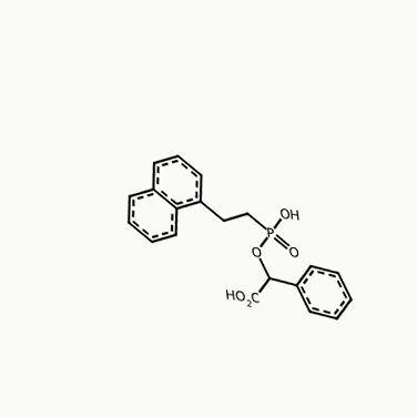 O=C(O)C(OP(=O)(O)CCc1cccc2ccccc12)c1ccccc1